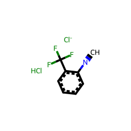 C#[N+]c1ccccc1C(F)(F)F.Cl.[Cl-]